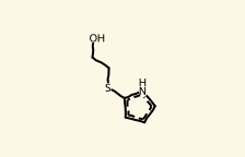 OCCSc1ccc[nH]1